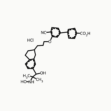 CC(C)(NO)C(O)c1ccc2c(c1)CC(CCCOc1cc(-c3ccc(C(=O)O)cc3)ccc1C#N)CC2.Cl